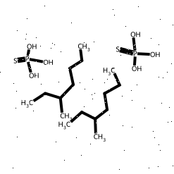 CCCCC(C)CC.CCCCC(C)CC.OP(O)(O)=S.OP(O)(O)=S